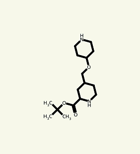 CC(C)(C)OC(=O)C1CC(COC2CCNCC2)CCN1